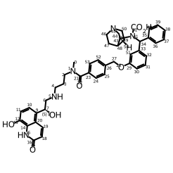 CN(CCCNC[C@@H](O)c1ccc(O)c2[nH]c(=O)ccc12)C(=O)c1ccc(COc2cccc(C(c3ccccc3)N(C(=O)O)[C@H]3CN4CCC3CC4)c2)cc1